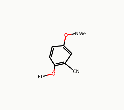 CCOc1ccc(ONC)cc1C#N